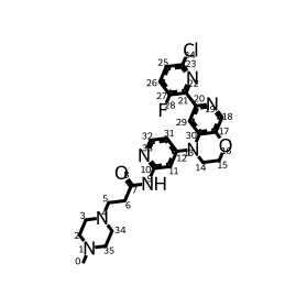 CN1CCN(CCC(=O)Nc2cc(N3CCOc4cnc(-c5nc(Cl)ccc5F)cc43)ccn2)CC1